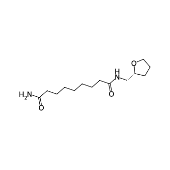 NC(=O)CCCCCCCC(=O)NC[C@H]1CCCO1